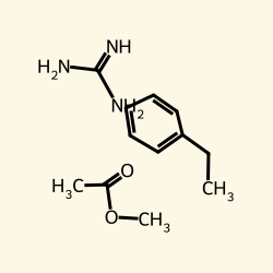 CCc1ccccc1.COC(C)=O.N=C(N)N